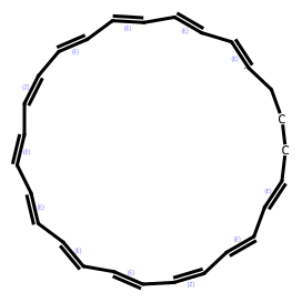 [C]1=C/C=C/C=C/C=C/C=C\C=C\C=C\C=C\C=C\C=C/C=C/C=C/CCC/1